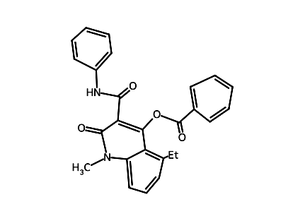 CCc1cccc2c1c(OC(=O)c1ccccc1)c(C(=O)Nc1ccccc1)c(=O)n2C